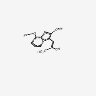 COc1nc2c(OC(C)C)cccn2c1C=C(C#N)C(=O)O